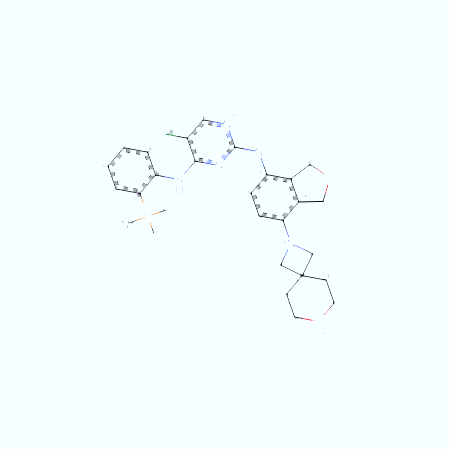 C[PH](C)(N=O)c1ccccc1Nc1nc(Nc2ccc(N3CC4(CCOCC4)C3)c3c2COC3)ncc1Cl